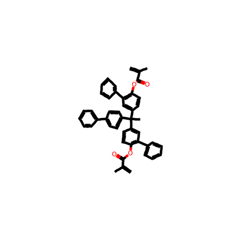 C=C(C)C(=O)Oc1ccc(C(C)(c2ccc(-c3ccccc3)cc2)c2ccc(OC(=O)C(=C)C)c(-c3ccccc3)c2)cc1-c1ccccc1